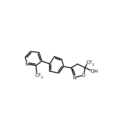 OC1(C(F)(F)F)CC(c2ccc(-c3cccnc3C(F)(F)F)cc2)=NO1